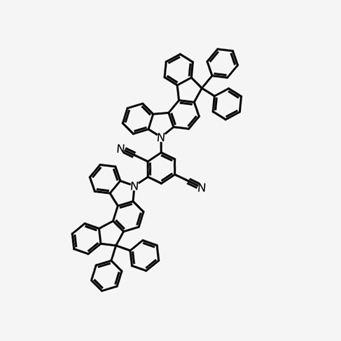 N#Cc1cc(-n2c3ccccc3c3c4c(ccc32)C(c2ccccc2)(c2ccccc2)c2ccccc2-4)c(C#N)c(-n2c3ccccc3c3c4c(ccc32)C(c2ccccc2)(c2ccccc2)c2ccccc2-4)c1